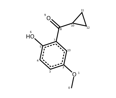 COc1ccc(O)c(C(=O)C2CC2)c1